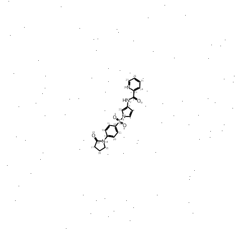 O=C(Nc1ccn(S(=O)(=O)c2ccc(N3CCCC3=O)cc2)c1)c1ccccn1